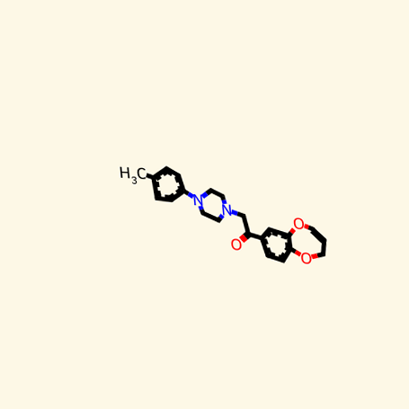 Cc1ccc(N2CCN(CC(=O)c3ccc4c(c3)OC=CCO4)CC2)cc1